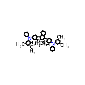 Cc1cc(C)cc(N(c2ccccc2)c2ccc3c(c2)[Si](C)(C)c2c4c(c5ccccc5c2-3)-c2ccc(N(c3ccccc3)c3cc(C)cc(C)c3)cc2[Si]4(C)C)c1